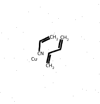 C=CC#N.C=CC=C.[Cu]